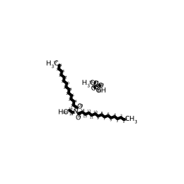 CCCCCCCCCCCCCCCC(=O)N(CCO)C(=O)CCCCCCCCCCCCCCC.COS(=O)(=O)O